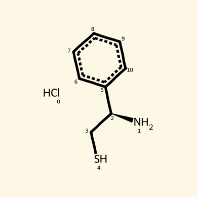 Cl.N[C@@H](CS)c1ccccc1